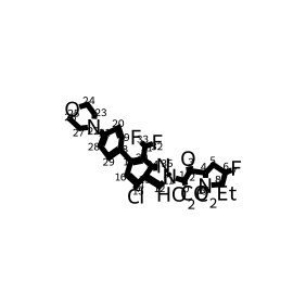 CCOC(=O)C(C(=O)C1CC(F)CN1C(=O)O)n1cc2c(Cl)cc(-c3ccc(N4CCOCC4)cc3)c(C(F)F)c2n1